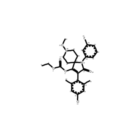 CCOC(=O)OC1=C(c2c(C)cc(Cl)cc2C)C(=O)N(c2cccc(F)c2)C12CCN(OC)CC2